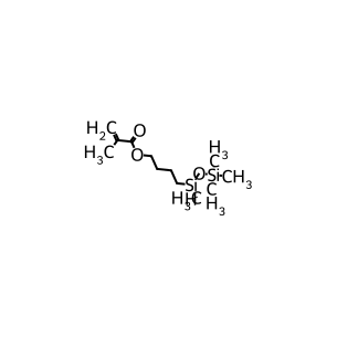 C=C(C)C(=O)OCCCC[SiH](C)O[Si](C)(C)C